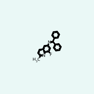 Cc1ccc2cc(N=C(c3ccccc3)c3ccccc3)cc(F)c2n1